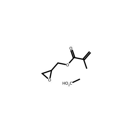 C=C(C)C(=O)OCC1CO1.CC(=O)O